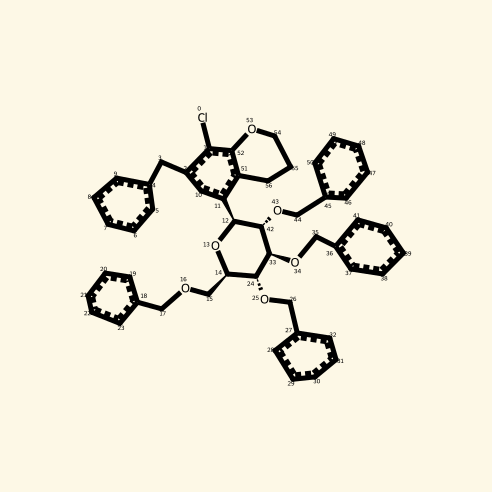 Clc1c(Cc2ccccc2)cc([C@@H]2O[C@H](COCc3ccccc3)[C@@H](OCc3ccccc3)[C@H](OCc3ccccc3)[C@H]2OCc2ccccc2)c2c1OCCC2